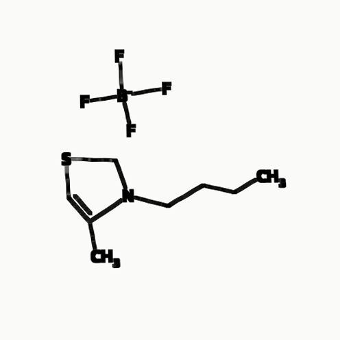 CCCCN1CSC=C1C.F[B-](F)(F)F